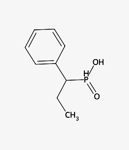 CCC(c1ccccc1)[PH](=O)O